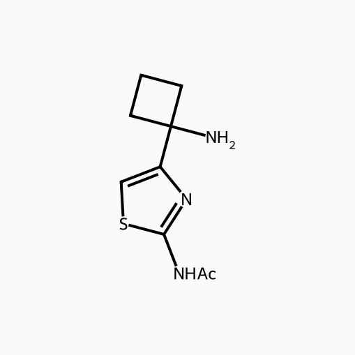 CC(=O)Nc1nc(C2(N)CCC2)cs1